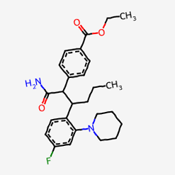 CCCC(c1ccc(F)cc1N1CCCCC1)C(C(N)=O)c1ccc(C(=O)OCC)cc1